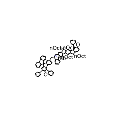 CCCCCCCCC1(CCCCCCCC)c2cc(/C=C(/Cc3ccc4c(c3)C3(C5=CC=CCC5c5ccccc53)c3cc(-c5ccccc5)c5oc6ccccc6c5c3-4)c3ccccc3C(C)(C)C)ccc2-c2cc3c(cc21)-c1c(ccc2oc4ccccc4c12)C3(CCCCCCCC)CCCCCCCC